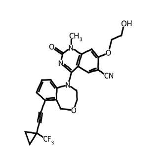 Cn1c(=O)nc(N2CCOCc3c(C#CC4(C(F)(F)F)CC4)cccc32)c2cc(C#N)c(OCCO)cc21